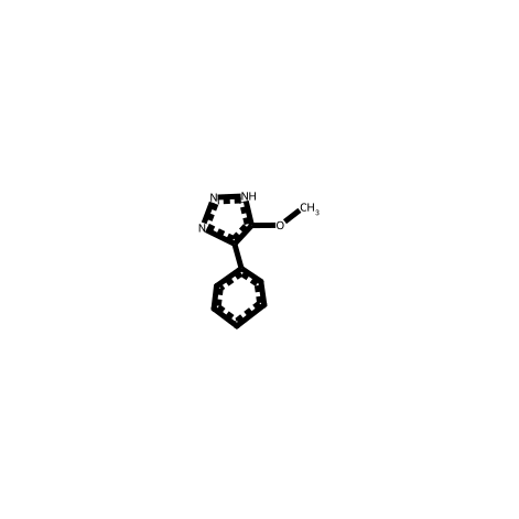 COc1[nH]nnc1-c1ccccc1